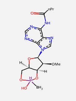 B[PH]1(O)OC[C@H]2O[C@@H](n3cnc4c(NC(=O)CCC)ncnc43)[C@@H](OC)[C@H]2O1